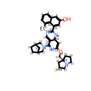 CCc1cccc2cc(O)cc(-c3ncc4c(N5CC6CCC(C6)C5)nc(OC[C@@]56CCCN5C[C@H](F)C6)cc4n3)c12